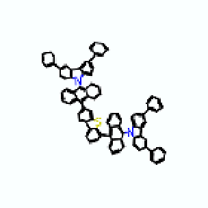 C1=CCCC(c2ccc3c(c2)c2cc(-c4ccccc4)ccc2n3-c2c3ccccc3c(-c3ccc4c(c3)sc3c(-c5c6ccccc6c(-n6c7ccc(-c8ccccc8)cc7c7cc(-c8ccccc8)ccc76)c6ccccc56)cccc34)c3ccccc23)=C1